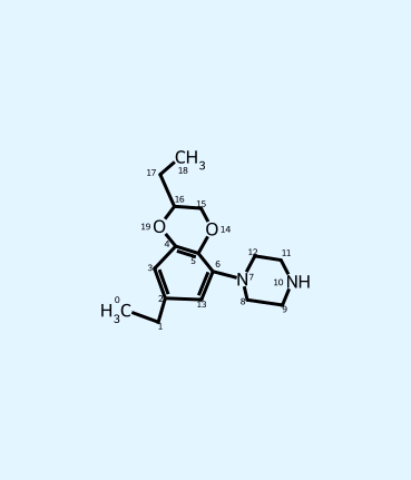 CCc1cc2c(c(N3CCNCC3)c1)OCC(CC)O2